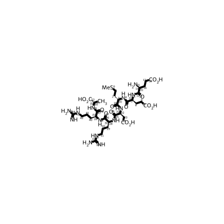 CSCC[C@H](NC(=O)[C@H](CCC(=O)O)NC(=O)[C@@H](N)CCC(=O)O)C(=O)N[C@@H](CC(=O)O)C(=O)N[C@@H](CCCNC(=N)N)C(=O)N[C@@H](CCCNC(=N)N)C(=O)N[C@@H](C)C(=O)O